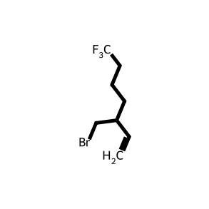 C=CC(CBr)CCCC(F)(F)F